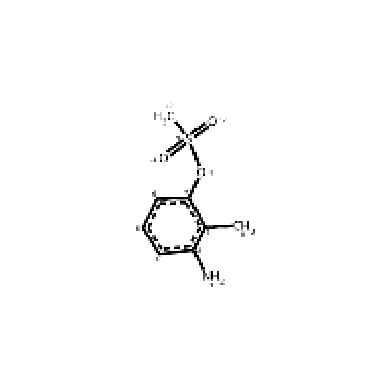 Cc1c(N)cccc1OS(C)(=O)=O